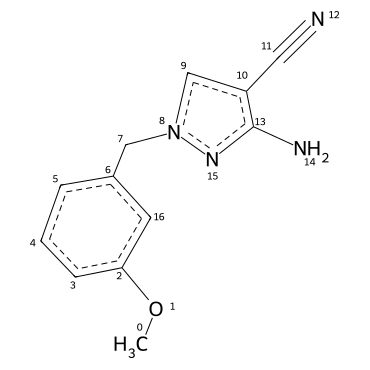 COc1cccc(Cn2cc(C#N)c(N)n2)c1